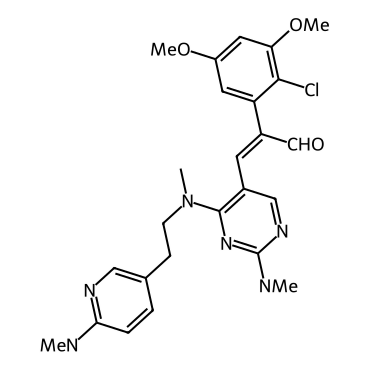 CNc1ccc(CCN(C)c2nc(NC)ncc2/C=C(\C=O)c2cc(OC)cc(OC)c2Cl)cn1